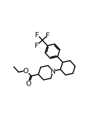 CCOC(=O)C1CCN(C2CCCCC2c2ccc(C(F)(F)F)cc2)CC1